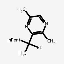 CCCCCC(C)(CC)c1nc(C)cnc1C